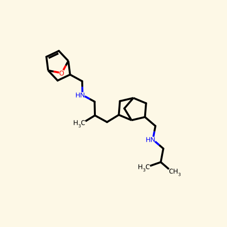 CC(C)CNCC1CC2CC(CC(C)CNCC3CC4C=CC3O4)C1C2